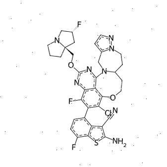 N#Cc1c(N)sc2c(F)ccc(-c3c(Cl)c4c5c(nc(OC[C@@]67CCCN6C[C@H](F)C7)nc5c3F)N3Cc5ccnn5CCC3CCO4)c12